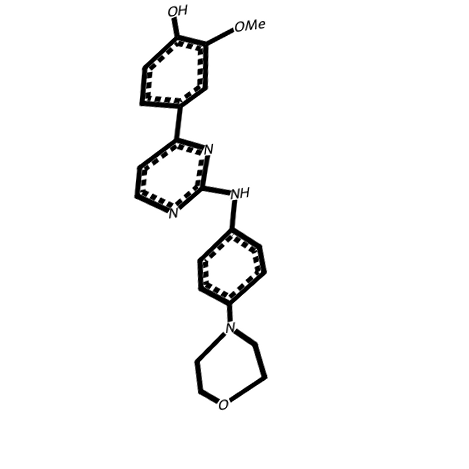 COc1cc(-c2ccnc(Nc3ccc(N4CCOCC4)cc3)n2)ccc1O